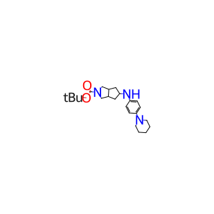 CC(C)(C)OC(=O)N1CC2CC(Nc3ccc(N4CCCCC4)cc3)CC2C1